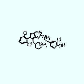 Oc1ccc(CNc2ncc3cc(-c4c(Cl)cccc4Cl)n(C[C@@H]4CCCNC4)c3n2)cc1Cl